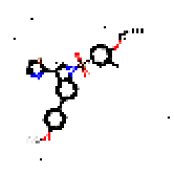 Cc1cc(S(=O)(=O)n2cc(-c3nccs3)c3cc(-c4ccc(OC(F)(F)F)cc4)ccc32)ccc1OCC(=O)O